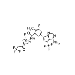 Cc1c(F)cc(-c2cc(C(F)(F)F)c3c(N)ncnn23)cc1C(=O)N[C@@H]1CN(C(=O)CC(F)(F)F)C[C@@H]1F